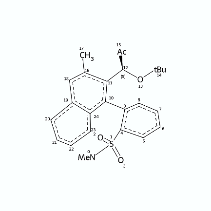 CNS(=O)(=O)c1ccccc1-c1c([C@H](OC(C)(C)C)C(C)=O)c(C)cc2ccccc12